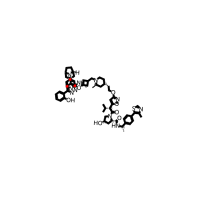 Cc1ncsc1-c1ccc([C@H](C)NC(=O)[C@@H]2C[C@@H](O)CN2C(=O)[C@@H](c2cc(OCC[C@H]3CCN(CC4CC(Oc5cc(N6C7CC[C@@H]6CN(c6cc(-c8ccccc8O)nnc6N)C7)ccn5)C4)[C@H](C)C3)no2)C(C)C)cc1